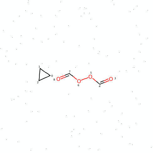 C1CC1.O=COOC=O